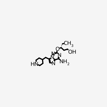 CC[C@H](CCO)Oc1nc(N)c2ncc(CC3CCNCC3)n2n1